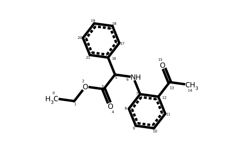 CCOC(=O)C(Nc1ccccc1C(C)=O)c1ccccc1